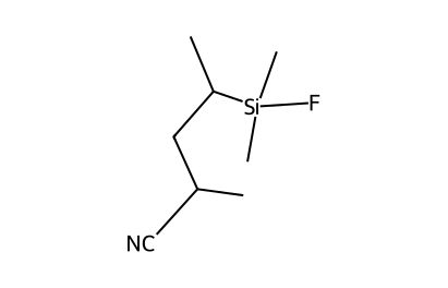 CC(C#N)CC(C)[Si](C)(C)F